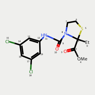 CCC1(C(=O)OC)SCCN1C(=O)Nc1cc(Cl)cc(Cl)c1